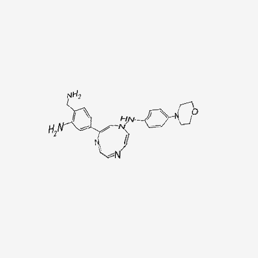 NCc1ccc(-c2cn(Nc3ccc(N4CCOCC4)cc3)ccnccn2)cc1N